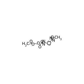 C=CC(=O)OCCOC(=O)c1nc(-c2cccc(-c3noc(C)n3)c2)no1